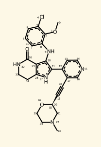 COc1c(Cl)cccc1Nc1c(-c2ccncc2C#C[C@H]2CN(C)CCO2)[nH]c2c1C(=O)NCC2